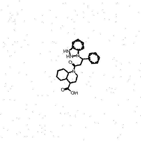 O=C(O)C1CCN(C(=O)CC(c2ccccc2)N2NNc3ccccc32)C2CCCCC12